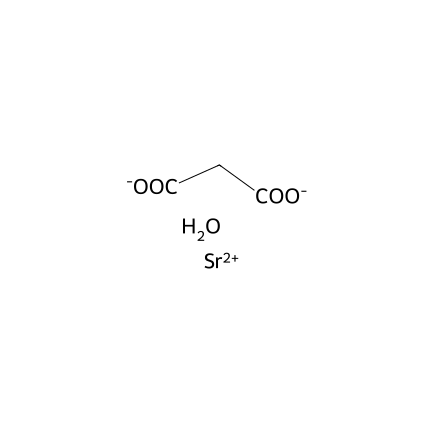 O.O=C([O-])CC(=O)[O-].[Sr+2]